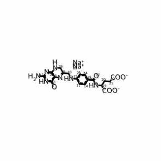 Nc1nc2c(c(=O)[nH]1)N=C(CNc1ccc(C(=O)NC(CCC(=O)[O-])C(=O)[O-])cc1)CN2.[Na+].[Na+]